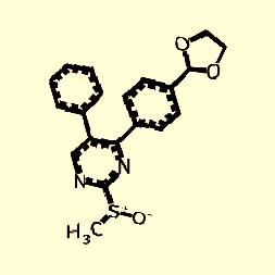 C[S+]([O-])c1ncc(-c2ccccc2)c(-c2ccc(C3OCCO3)cc2)n1